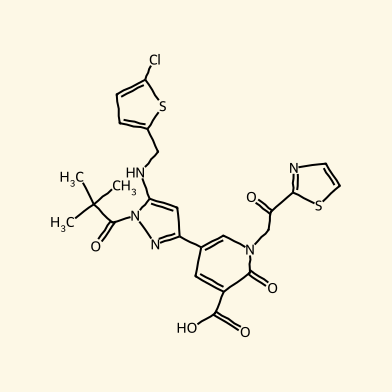 CC(C)(C)C(=O)n1nc(-c2cc(C(=O)O)c(=O)n(CC(=O)c3nccs3)c2)cc1NCc1ccc(Cl)s1